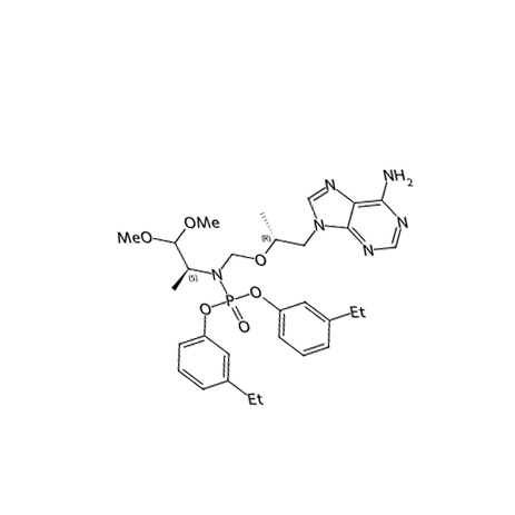 CCc1cccc(OP(=O)(Oc2cccc(CC)c2)N(CO[C@H](C)Cn2cnc3c(N)ncnc32)[C@@H](C)C(OC)OC)c1